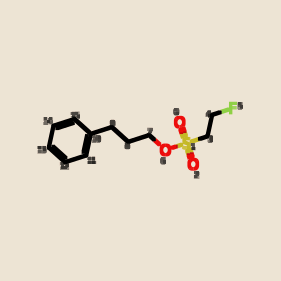 O=S(=O)(CCF)OCCCc1ccccc1